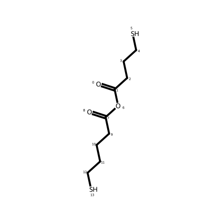 O=C(CCCS)OC(=O)CCCCS